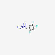 NNCc1cc(F)c(F)cc1F